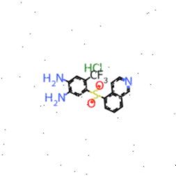 Cl.Nc1cc(C(F)(F)F)c(S(=O)(=O)c2cccc3cnccc23)cc1N